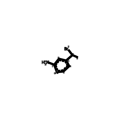 CC(Br)c1ccnc(N)c1